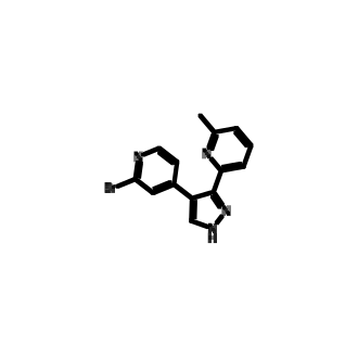 Cc1cccc(-c2n[nH]cc2-c2ccnc(Br)c2)n1